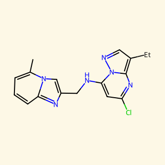 CCc1cnn2c(NCc3cn4c(C)cccc4n3)cc(Cl)nc12